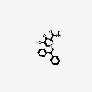 CNC(=O)c1nn(CC(c2ccccc2)c2ccccc2)cc(O)c1=O